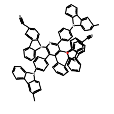 Cc1ccc2c(c1)c1ccccc1n2-c1ccc(-c2nc(-n3c4ccccc4c4cc(C#N)ccc43)c(-c3ccc(-n4c5ccccc5c5cc(C)ccc54)cc3)c(-c3ccccc3-c3nc4ccccc4s3)c2-n2c3ccccc3c3cc(C#N)ccc32)cc1